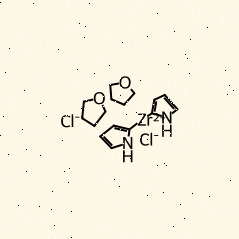 C1CCOC1.C1CCOC1.[Cl-].[Cl-].c1c[nH][c]([Zr+2][c]2ccc[nH]2)c1